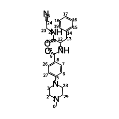 CN1CCN(c2ccc(C(=O)NC(Cc3ccccc3)C(=O)NCC#N)cc2)CC1